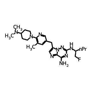 CCCC(CF)Nc1nc(N)c2ncc(Cc3cnc(N4CCC(N(C)C)CC4)c(C)c3)n2n1